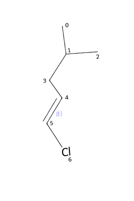 CC(C)C/C=C/Cl